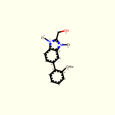 CCn1c(CO)[n+](CC)c2ccc(-c3ccccc3OC)cc21